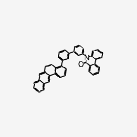 O=c1c2ccccc2c2ccccc2n1-c1cccc(-c2cccc(-c3cccc4c3ccc3cc5ccccc5cc34)c2)c1